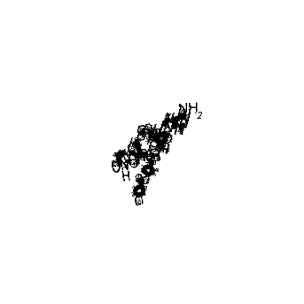 Nc1ncnc2c1ncn2[C@@H]1O[C@@H]2COP(=O)(SCc3ccc(OC(=O)c4ccc(Cl)cc4)cc3)O[C@H]3[C@@H](F)[C@H](n4ccc(=O)[nH]c4=O)O[C@@H]3COP(=O)(O)O[C@@H]1[C@@H]2F